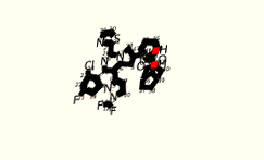 O=S(=O)(NC1CC2=C(c3ccn(C(F)F)n3)[C@H](c3ccc(F)cc3Cl)N=C(c3nccs3)N2C1)NC1C2CCC1CC(O)(c1ccccn1)C2